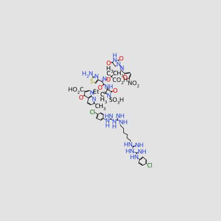 CCn1cc(C(=O)O)c(=O)c2ccc(C)nc21.C[C@H]1[C@H](NC(=O)/C(=N\OC(C)(C)C(=O)O)c2csc(N)n2)C(=O)N1S(=O)(=O)O.N=C(NCCCCCCNC(=N)NC(=N)Nc1ccc(Cl)cc1)NC(=N)Nc1ccc(Cl)cc1.O=C1CN(/N=C/c2ccc([N+](=O)[O-])o2)C(=O)N1